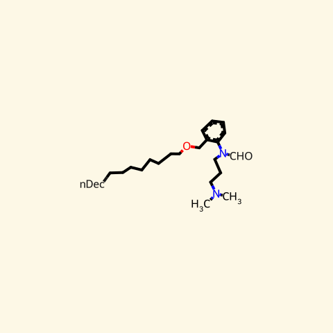 CCCCCCCCCCCCCCCCCCOCc1ccccc1N(C=O)CCCN(C)C